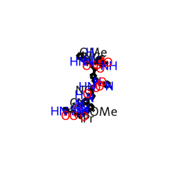 COc1cccc2[nH]c(C(=O)NC(CC3CC3C3CCC4(C3)CC(C(=O)NC(C#N)CC3CCN(c5ccc(CNC(=O)/C(C#N)=C\[C@H](C[C@@H]6CCNC6=O)NC(=O)[C@H](CC(C)C)NC(=O)c6cc7c(OC)cccc7[nH]6)cc5)C3=O)N(C(=O)OC3CCN(C)CC3)C4)C(=O)NC3(C#N)CC4CCC3C3C(=O)NC(=O)C43)cc12